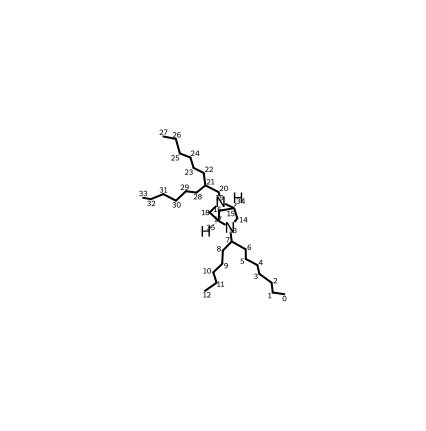 CCCCCCCC(CCCCC)N1C[C@H]2C[C@@H]1CN2CC(CCCCCC)CCCCCC